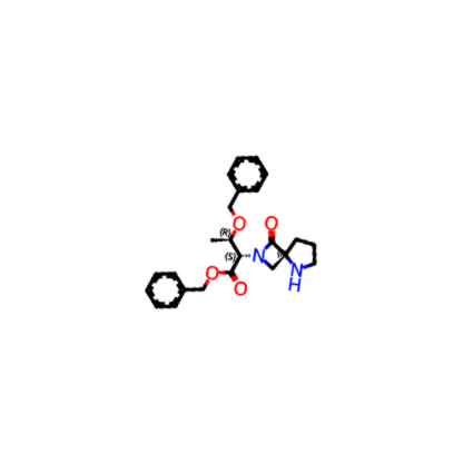 C[C@@H](OCc1ccccc1)[C@@H](C(=O)OCc1ccccc1)N1C[C@]2(CCCN2)C1=O